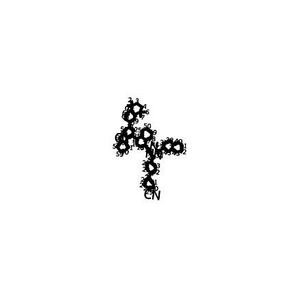 CC1(C)CCC(C)(C)c2cc(-c3cc(-c4ccc(-c5nc(-c6ccc(-c7ccc(C#N)cc7)cc6)nc(-c6ccc7ccccc7c6)n5)c5ccccc45)c4c(c3)oc3ccccc34)ccc21